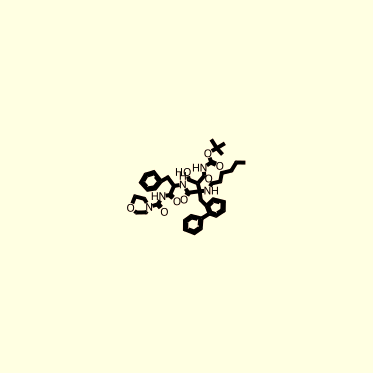 CCCCCC(=O)NC(Cc1ccccc1-c1ccccc1)(C(=O)NC(Cc1ccccc1)C(=O)NC(=O)N1CCOCC1)C(CO)CNC(=O)OC(C)(C)C